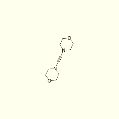 C(#CN1CCOCC1)N1CCOCC1